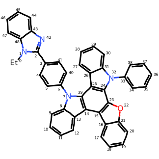 CCn1c(-c2ccc(-n3c4ccccc4c4c5c6ccccc6oc5c5c(c6ccccc6n5-c5ccccc5)c43)cc2)nc2ccccc21